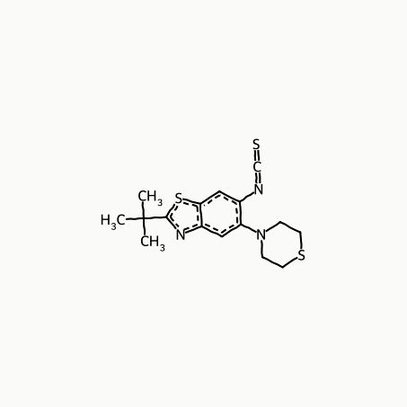 CC(C)(C)c1nc2cc(N3CCSCC3)c(N=C=S)cc2s1